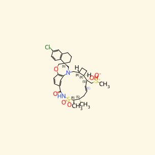 C[C@@H]1[C@@H](C)C/C=C/[C@](O)(C[S+](C)[O-])[C@@H]2CC[C@H]2CN2C[C@@]3(CCCc4cc(Cl)ccc43)COc3ccc(cc32)C(=O)NS1(=O)=O